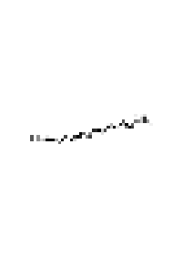 C#CCCC=CCCCCCC=CC